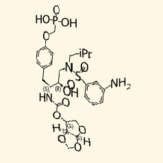 CC(C)CN(C[C@@H](O)[C@H](Cc1ccc(OCP(=O)(O)O)cc1)NC(=O)O[C@H]1CO[C@H]2OCO[C@H]21)S(=O)(=O)c1cccc(N)c1